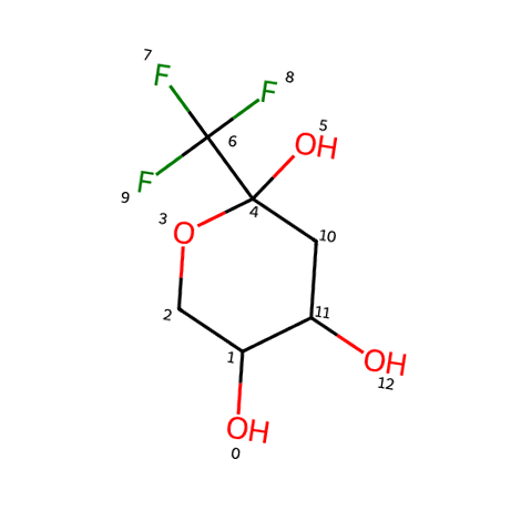 OC1COC(O)(C(F)(F)F)CC1O